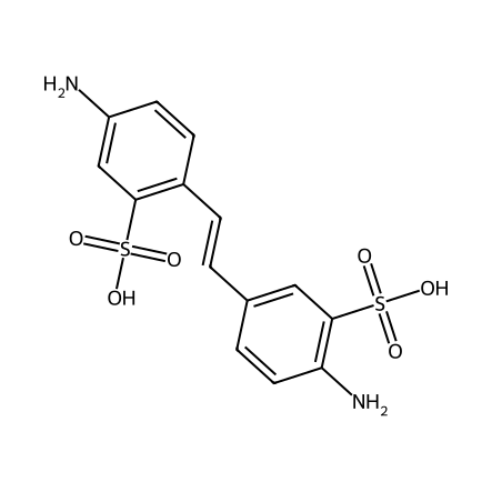 Nc1ccc(C=Cc2ccc(N)c(S(=O)(=O)O)c2)c(S(=O)(=O)O)c1